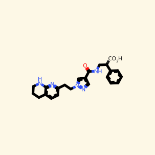 O=C(NCC(C(=O)O)c1ccccc1)c1cnn(CCc2ccc3c(n2)NCCC3)c1